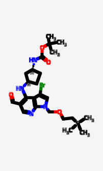 CC(C)(C)OC(=O)N[C@@H]1CC[C@@H](Nc2c(C=O)cnc3c2c(Br)cn3COCC[Si](C)(C)C)C1